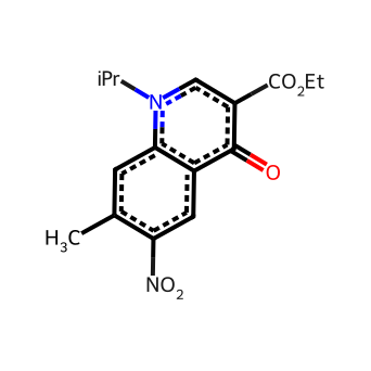 CCOC(=O)c1cn(C(C)C)c2cc(C)c([N+](=O)[O-])cc2c1=O